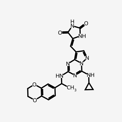 CC(Nc1nc(NC2CC2)n2ncc(/C=C3\NC(=O)NC3=O)c2n1)c1ccc2c(c1)OCCO2